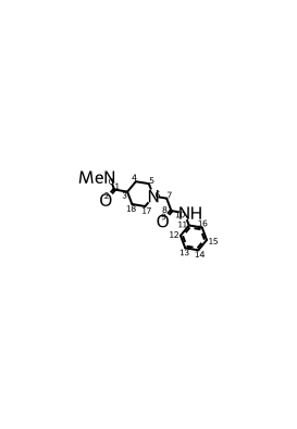 CNC(=O)C1CCN(CC(=O)Nc2ccccc2)CC1